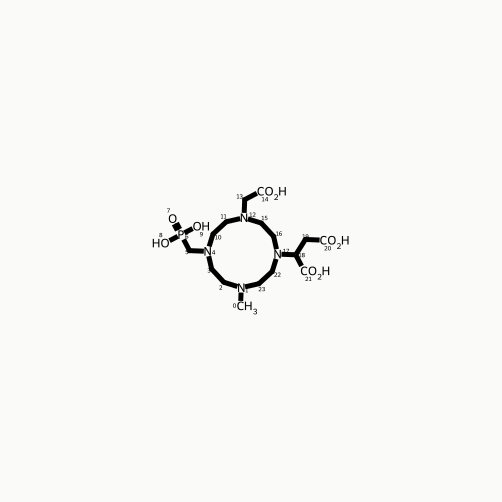 CN1CCN(CP(=O)(O)O)CCN(CC(=O)O)CCN(C(CC(=O)O)C(=O)O)CC1